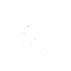 CCOC(=O)C1(c2ccccc2)CCN(C(=O)[C@@H](COCc2ccccc2)NC(=O)C(C)(C)N)CC1.Cl